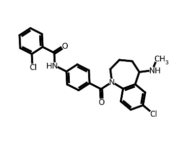 CNC1CCCN(C(=O)c2ccc(NC(=O)c3ccccc3Cl)cc2)c2ccc(Cl)cc21